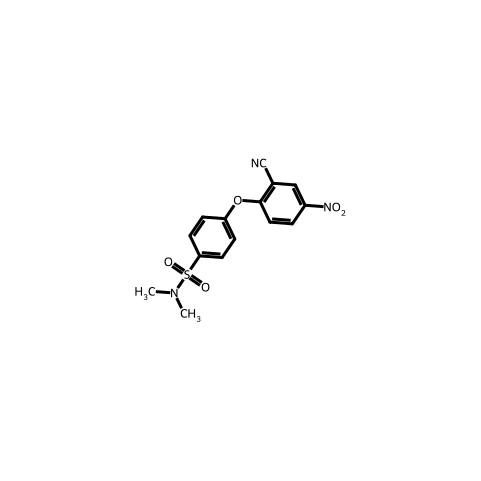 CN(C)S(=O)(=O)c1ccc(Oc2ccc([N+](=O)[O-])cc2C#N)cc1